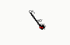 CCCCCCCCCCCCCCCC[N+](C)(C)C12CC3CC(CC(C3)C1)C2.[OH-]